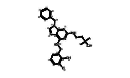 CC(C)(O)CCNc1nc(NCc2cccc(Cl)c2O)c2ncn(Cc3ccccc3)c2n1